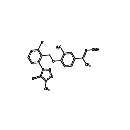 CON=C(C)c1ccc(OCc2c(Br)cccc2-n2nnn(C)c2=O)c(C)c1